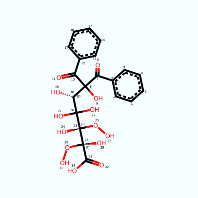 O=C(c1ccccc1)C(O)(C(=O)c1ccccc1)[C@@H](O)C(O)(O)[C@](O)(OO)[C@@](O)(OO)C(=O)O